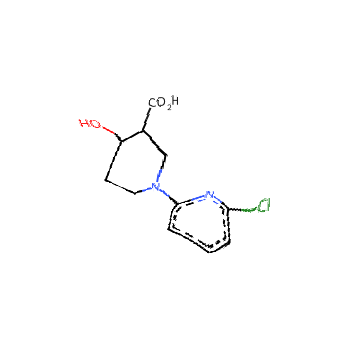 O=C(O)C1CN(c2cccc(Cl)n2)CCC1O